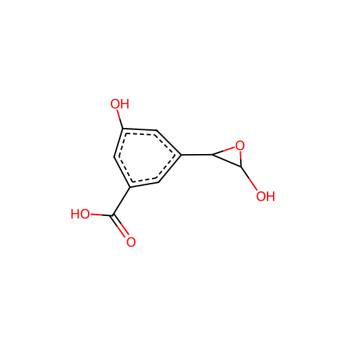 O=C(O)c1cc(O)cc(C2OC2O)c1